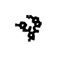 Nc1ncc2ncn(CC(=O)N3C4C[C@@H]4C[C@H]3C(=O)Nc3cccc(Br)n3)c2n1